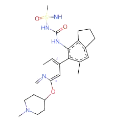 C=N/C(=C\C(=C/C)c1c(C)cc2c(c1NC(=O)NS(C)(=N)=O)CCC2)OC1CCN(C)CC1